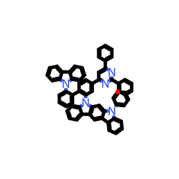 c1ccc(-c2cc(-c3ccc(-c4ccccc4-n4c5ccccc5c5ccccc54)c(-n4c5ccccc5c5cc6c7ccccc7n(-c7ccccc7)c6cc54)c3)nc(-c3ccccc3)n2)cc1